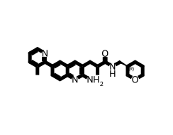 Cc1cccnc1-c1ccc2nc(N)c(CC(C)C(=O)NC[C@H]3CCCOC3)cc2c1